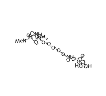 CNCCC(=O)N1Cc2ccccc2/C(N(N)CCOCCOCCOCCOCCOCCNC(=O)c2ccc(-c3cc(=O)c4ccc(O)c(O)c4o3)cc2)=C(/N)c2ccccc21